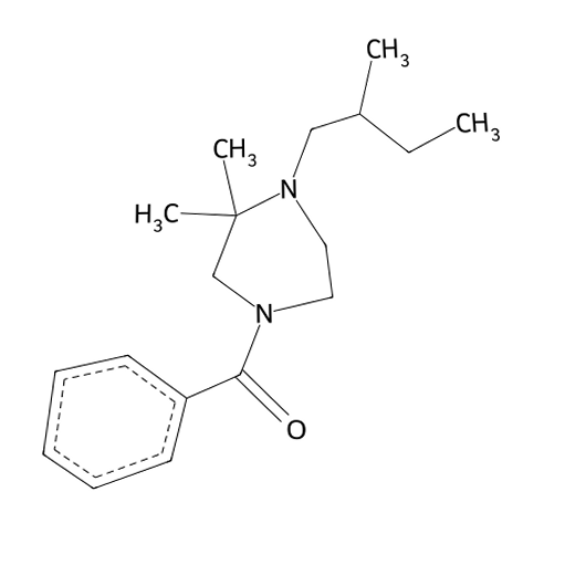 CCC(C)CN1CCN(C(=O)c2ccccc2)CC1(C)C